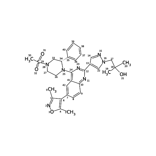 Cc1noc(C)c1-c1ccc2nc(-c3cnn(CC(C)(C)O)c3)nc(N3CCN(S(C)(=O)=O)C[C@@H]3c3ccccc3)c2c1